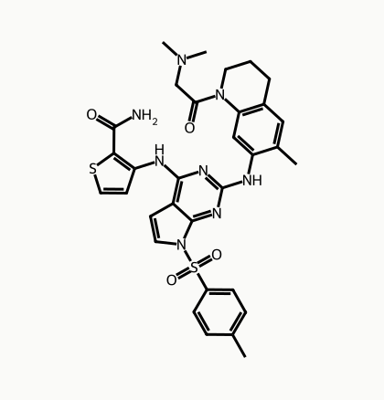 Cc1ccc(S(=O)(=O)n2ccc3c(Nc4ccsc4C(N)=O)nc(Nc4cc5c(cc4C)CCCN5C(=O)CN(C)C)nc32)cc1